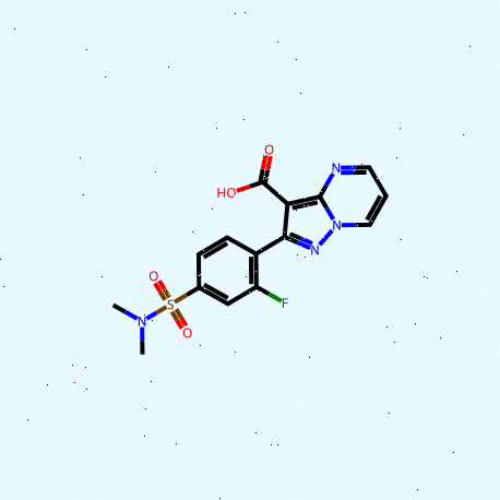 CN(C)S(=O)(=O)c1ccc(-c2nn3cccnc3c2C(=O)O)c(F)c1